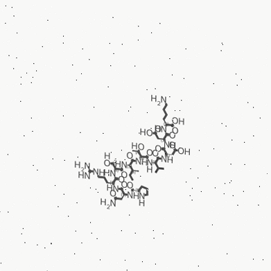 CC[C@H](C)[C@H](NC(=O)[C@@H](NC(=O)[C@H](CCCNC(=N)N)NC(=O)[C@H](CC(N)=O)NC(=O)[C@@H]1CCCN1)[C@@H](C)O)C(=O)N[C@H](C(=O)N[C@H](C(=O)N[C@@H](CC(=O)O)C(=O)N[C@@H](CC(=O)O)C(=O)N[C@@H](CCCCN)C(=O)O)C(C)C)[C@@H](C)O